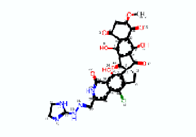 COC1=CC(=O)c2c(O)c3c(c(O)c2C1=O)C(=O)[C@]1(CCc2c1c(O)c1c(=O)[nH]c(C=NNC4=NCCN4)cc1c2Cl)C3=O